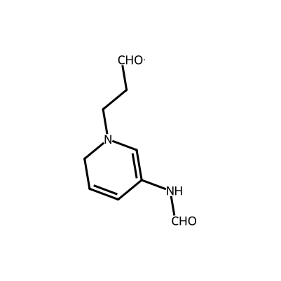 O=[C]CCN1C=C(NC=O)C=CC1